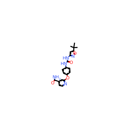 CC(C)(C)c1cc(NC(=O)Nc2ccc(Oc3cc(C(N)=O)ccn3)cc2)no1